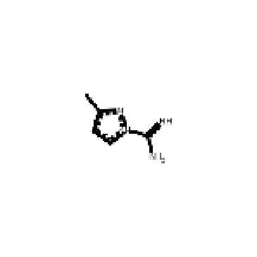 Cc1ccn(C(=N)N)n1